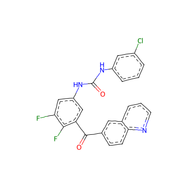 O=C(Nc1cccc(Cl)c1)Nc1cc(F)c(F)c(C(=O)c2ccc3ncccc3c2)c1